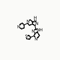 c1cc(-c2cc3c(-c4nc5c(-c6ccsc6)nccc5[nH]4)n[nH]c3cn2)ccn1